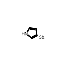 [Sb].c1cc[nH]c1